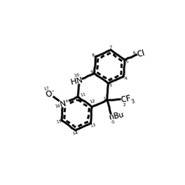 CCCCC1(C(F)(F)F)c2cc(Cl)ccc2Nc2c1ccc[n+]2[O-]